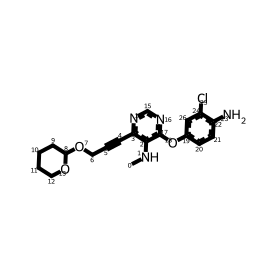 CNc1c(C#CCOC2CCCCO2)ncnc1Oc1ccc(N)c(Cl)c1